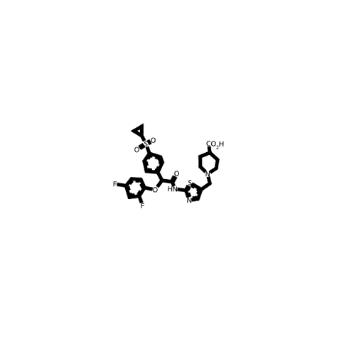 O=C(O)C1CCN(Cc2cnc(NC(=O)C(Oc3ccc(F)cc3F)c3ccc(S(=O)(=O)C4CC4)cc3)s2)CC1